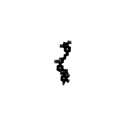 CCc1n[nH]c2cc(OCCNCC(O)c3cccc(NS(=O)(=O)c4ccc(F)c(F)c4F)c3)ccc12